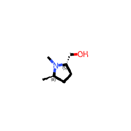 C[C@@H]1CC[C@@H](CO)N1C